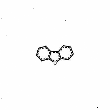 [c]1cc[c]c2c1oc1ccccc12